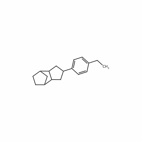 CCc1ccc(C2CC3C4CCC(C4)C3C2)cc1